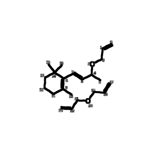 C=CCOC(C)C=CC1=C(C)CCCC1(C)C.C=CCOCC=C